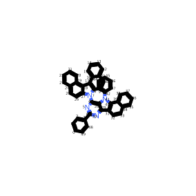 c1ccc(-c2nc(-n3c4ccc5ccccc5c4c4c5ccccc5ccc43)c3c(n2)c2ccc4ccccc4c2n3-c2ccccc2)cc1